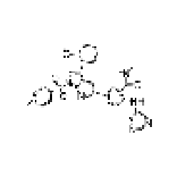 COc1ccccc1-c1cn(S(=O)(=O)c2ccc(C)cc2)c2ncc(-c3ccc(Nc4cncnc4)c(C(=O)N(C)C)c3)cc12